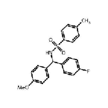 COc1ccc([C@@H](NS(=O)(=O)c2ccc(C)cc2)c2ccc(F)cc2)cc1